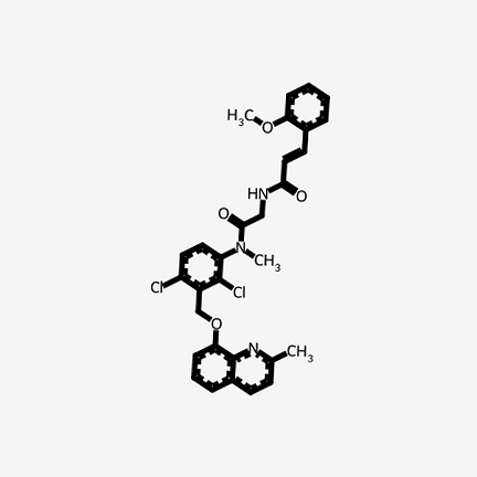 COc1ccccc1/C=C/C(=O)NCC(=O)N(C)c1ccc(Cl)c(COc2cccc3ccc(C)nc23)c1Cl